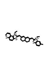 CCN1/C(=C/C2=CC3=C/C(=C/c4sc5ccc(C)cc5[n+]4CC)CCC3CC2)Sc2ccc3c(c21)C=CCS3